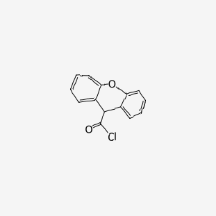 O=C(Cl)C1c2ccccc2Oc2ccccc21